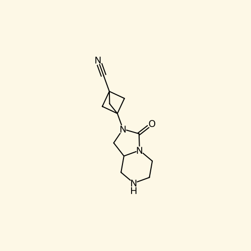 N#CC12CC(N3CC4CNCCN4C3=O)(C1)C2